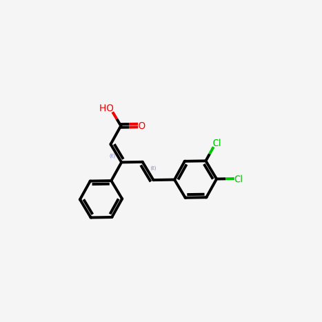 O=C(O)/C=C(\C=C\c1ccc(Cl)c(Cl)c1)c1ccccc1